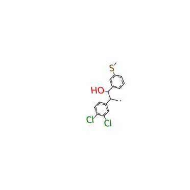 [CH2]C(c1ccc(Cl)c(Cl)c1)C(O)c1cccc(SC)c1